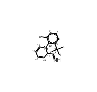 Cc1cccc(C(C)(C)C)c1N1C=CC=CC1C=N